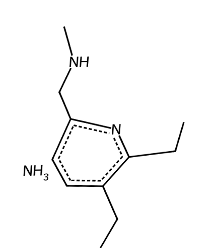 CCc1ccc(CNC)nc1CC.N